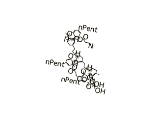 CCCCCc1cc(OC(=O)CCN(C)C)c2c(c1)OC(C)(C)[C@@H]1CCC(CCC3(C)Oc4cc(CCCCC)cc(OC(=O)CCC(=O)O)c4[C@@H]4C=C(CCC5(C)Oc6cc(CCCCC)cc(OC(=O)[C@H](O)CO)c6[C@@H]6C=C(C)CC[C@H]65)CC[C@H]43)=C[C@@H]21